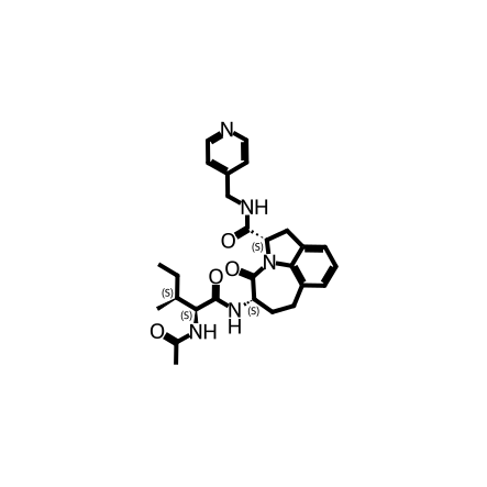 CC[C@H](C)[C@H](NC(C)=O)C(=O)N[C@H]1CCc2cccc3c2N(C1=O)[C@H](C(=O)NCc1ccncc1)C3